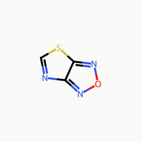 c1nc2nonc2s1